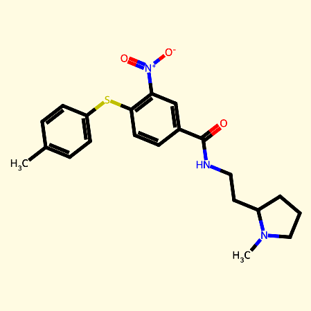 Cc1ccc(Sc2ccc(C(=O)NCCC3CCCN3C)cc2[N+](=O)[O-])cc1